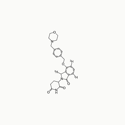 [2H]c1cc([2H])c2c(c1OCc1ccc(CN3CCOCC3)cc1)C([2H])N(C1CCC(=O)NC1=O)C2=O